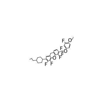 CCCC1CCC(c2cc3c(c(F)c2F)Oc2c(ccc(C(F)(F)Oc4ccc(OCC)c(F)c4)c2F)C3)CC1